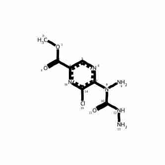 COC(=O)c1cnc(N(N)C(=O)NN)c(Cl)n1